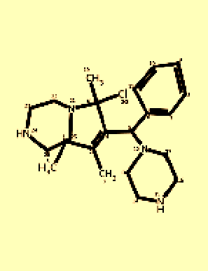 CC/C(C)=C(/C(c1ccccc1)N1CCNCC1)C(C)(Cl)N1CCNCC1